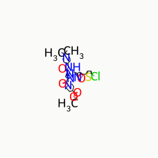 CCOC(=O)C1CCN(C(=O)c2cc(C(=O)NC3CCN(C(C)C)CC3)n(Cc3cc(-c4ccc(Cl)s4)on3)n2)CC1